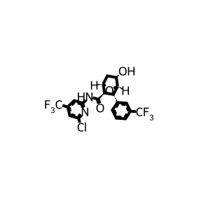 O=C(Nc1cc(C(F)(F)F)cc(Cl)n1)[C@@H]1[C@@H](c2cccc(C(F)(F)F)c2)[C@H]2O[C@@H]1C[C@@H]2O